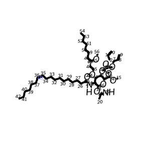 C=CCOP(=O)(OCC=C)OC1C(COC)OC(OC(C)=N)C(NC(=O)CCCCCCCCC/C=C\CCCCCC)C1OCC[C@@H](CCCCCCC)OC